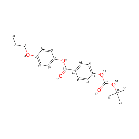 CCCOc1ccc(OC(=O)c2ccc(OC(=O)OC(C)(C)C)cc2)cc1